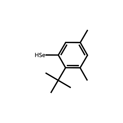 Cc1cc(C)c(C(C)(C)C)c([SeH])c1